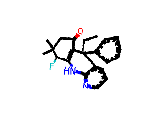 CC[C@]1(c2ccccc2)C2=C(Nc3ncccc31)[C@@H](F)C(C)(C)CC2=O